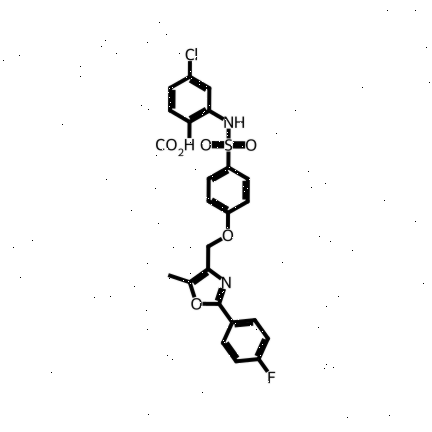 Cc1oc(-c2ccc(F)cc2)nc1COc1ccc(S(=O)(=O)Nc2cc(Cl)ccc2C(=O)O)cc1